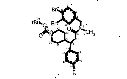 CN(Cc1ccc(Br)c(Br)c1)C(=O)CC(c1ccc(F)cc1)C1CCN(C(=O)OC(C)(C)C)CC1